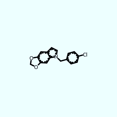 Clc1ccc(Cn2ccc3cc4c(cc32)OCO4)cc1